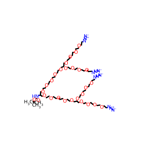 CC(C)(C)OC(=O)NC(COCCOCCOCCOCCOCC(COCCOCCOCCOCCN=[N+]=[N-])OCCOCCOCCOCCN=[N+]=[N-])COCCOCCOCCOCCOCC(COCCOCCOCCOCCN=[N+]=[N-])OCCOCCOCCOCCN=[N+]=[N-]